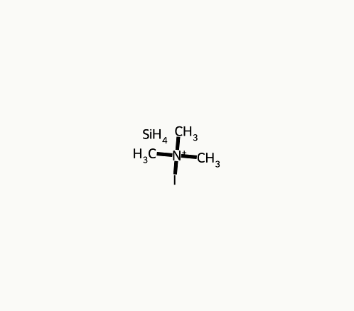 C[N+](C)(C)I.[SiH4]